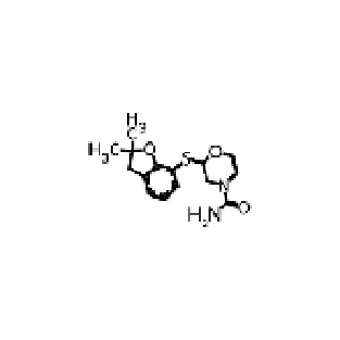 CC1(C)Cc2cccc(SC3CN(C(N)=O)CCO3)c2O1